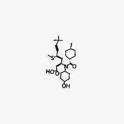 CS/C(C#CC(C)(C)C)=C\C(=C\C(=O)O)N(C(=O)[C@H]1CC[C@H](C)CC1)[C@H]1CC[C@@H](O)CC1